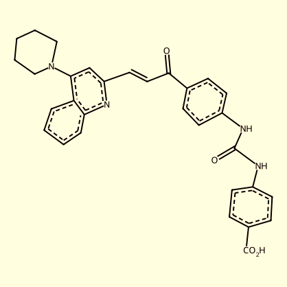 O=C(Nc1ccc(C(=O)O)cc1)Nc1ccc(C(=O)C=Cc2cc(N3CCCCC3)c3ccccc3n2)cc1